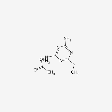 CC(=O)O.CCc1nc(N)nc(N)n1